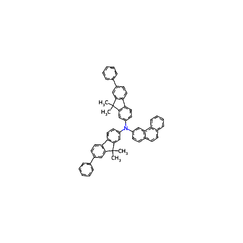 CC1(C)c2cc(-c3ccccc3)ccc2-c2ccc(N(c3ccc4c(c3)C(C)(C)c3cc(-c5ccccc5)ccc3-4)c3ccc4ccc5ccccc5c4c3)cc21